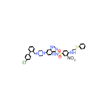 O=[N+]([O-])c1cc(S(=O)(=O)Nc2ncnc3cc(N4CCN(Cc5ccccc5-c5ccc(Cl)cc5)CC4)ccc23)ccc1NCCSc1ccccc1